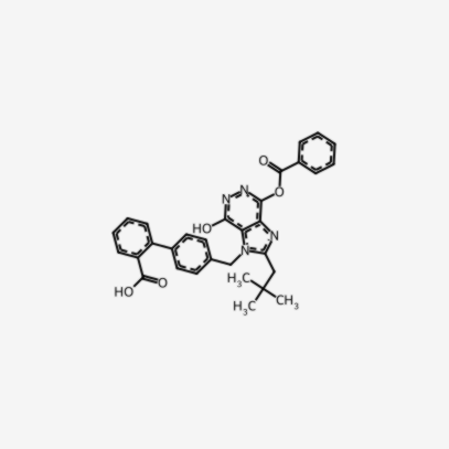 CC(C)(C)Cc1nc2c(OC(=O)c3ccccc3)nnc(O)c2n1Cc1ccc(-c2ccccc2C(=O)O)cc1